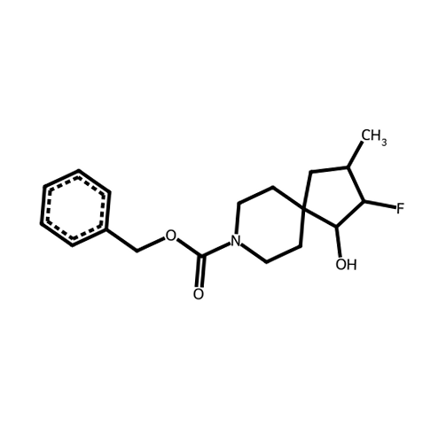 CC1CC2(CCN(C(=O)OCc3ccccc3)CC2)C(O)C1F